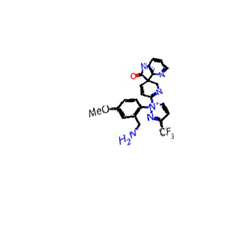 COc1ccc([N+]2(C3=NCC(C(N)=O)(c4ccccn4)C=C3)C=CC(C(F)(F)F)=N2)c(CN)c1